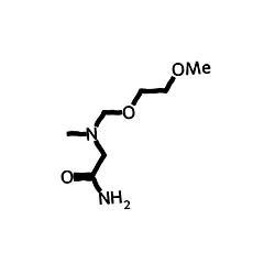 COCCOCN(C)CC(N)=O